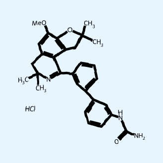 COc1cc2c(c3c1OC(C)(C)C3)C(c1cccc(-c3cccc(NC(N)=O)c3)c1)=NC(C)(C)C2.Cl